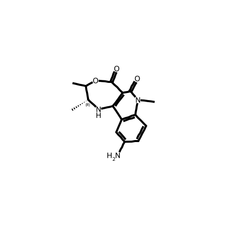 CC1OC(=O)c2c(c3cc(N)ccc3n(C)c2=O)N[C@@H]1C